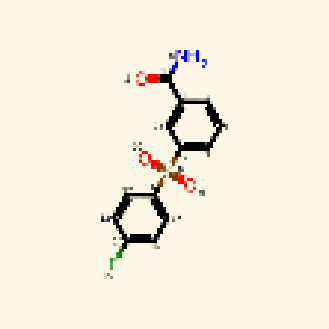 NC(=O)c1cccc(S(=O)(=O)c2ccc(F)cc2)c1